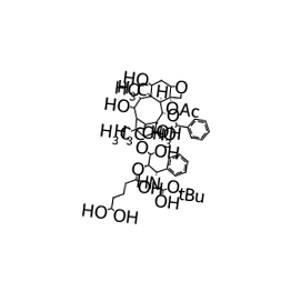 CC(=O)O[C@@]12COC1CC(O)C1(C)C(O)C(O)C3C(C)[C@@H](OC(O)[C@H](OC(O)CCCC(O)O)[C@@H](NC(O)OC(C)(C)C)c4ccccc4)CC(O)([C@@H](OC(O)c4ccccc4)[C@@H]12)C3(C)C